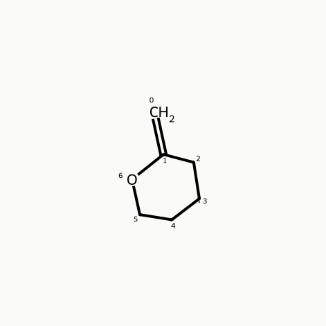 C=C1C[CH]CCO1